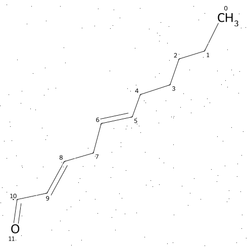 CCCCC/C=C/C/C=C/[C]=O